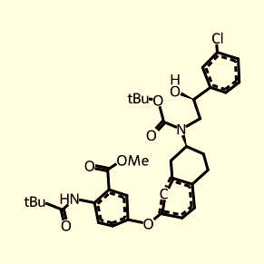 COC(=O)c1cc(Oc2ccc3c(c2)C[C@@H](N(C[C@@H](O)c2cccc(Cl)c2)C(=O)OC(C)(C)C)CC3)ccc1NC(=O)C(C)(C)C